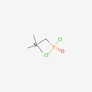 C[Si](C)(C)CP(=O)(Cl)Cl